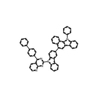 c1ccc(-c2ccc(-c3nc(-n4c5ccccc5c5cc(-c6cc7c8ccccc8n(-c8ccccc8)c7c7ccccc67)ccc54)nc4ncccc34)cc2)cc1